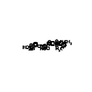 CN1CCN(C)c2ncc(S(=O)(=O)N3CCC4(CC3)CC(N(CC(O)COc3cccc(S(=O)(=O)C5(CO)CC5)c3)C(=O)O)CO4)cc21